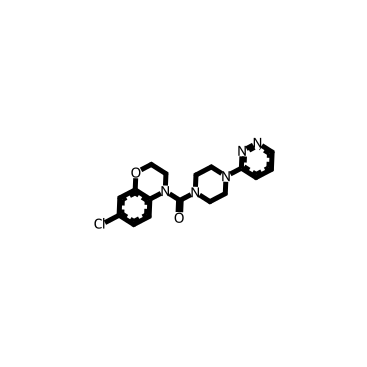 O=C(N1CCN(c2cccnn2)CC1)N1CCOc2cc(Cl)ccc21